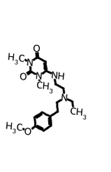 CCN(CCNc1cc(=O)n(C)c(=O)n1C)CCc1ccc(OC)cc1